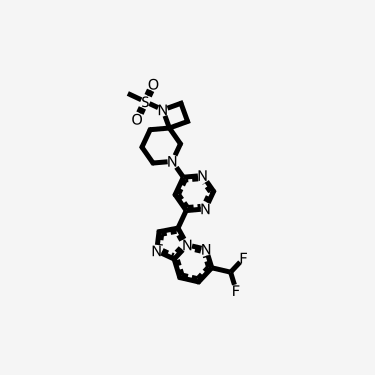 CS(=O)(=O)N1CCC12CCCN(c1cc(-c3cnc4ccc(C(F)F)nn34)ncn1)C2